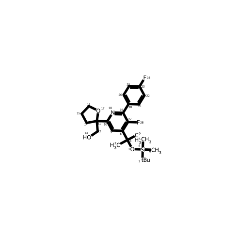 CC(C)(O[Si](C)(C)C(C)(C)C)c1cc(C2(CO)CCCO2)nc(-c2ccc(F)cc2)c1F